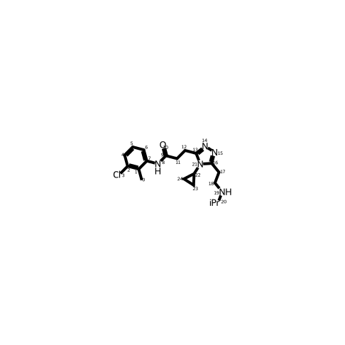 Cc1c(Cl)cccc1NC(=O)CCc1nnc(CCNC(C)C)n1C1CC1